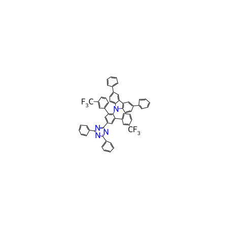 FC(F)(F)c1cccc(-c2cc(-c3nc(-c4ccccc4)nc(-c4ccccc4)n3)cc(-c3cccc(C(F)(F)F)c3)c2-n2c3ccc(-c4ccccc4)cc3c3cc(-c4ccccc4)ccc32)c1